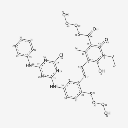 CCn1c(O)c(/N=N/c2cc(Nc3nc(Cl)nc(Nc4ccccc4)n3)ccc2SOOO)c(C)c(C(=O)SOOO)c1=O